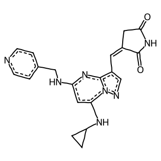 O=C1CC(=Cc2cnn3c(NC4CC4)cc(NCc4ccncc4)nc23)C(=O)N1